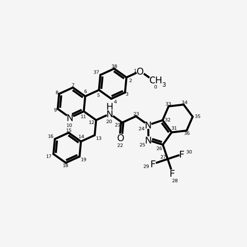 COc1ccc(-c2cccnc2C(Cc2ccccc2)NC(=O)Cn2nc(C(F)(F)F)c3c2CCCC3)cc1